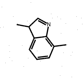 Cc1cccc2c1N=CC2C